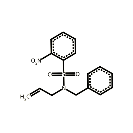 C=CCN(Cc1ccccc1)S(=O)(=O)c1ccccc1[N+](=O)[O-]